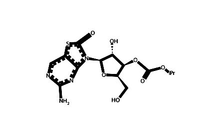 CC(C)OC(=O)O[C@@H]1[C@@H](O)[C@H](n2c(=O)sc3cnc(N)nc32)O[C@@H]1CO